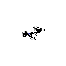 COCC/C(=N\NC(=O)CNC(=O)c1ccc(OC)c(OC)c1O)c1csc2c(F)cccc12